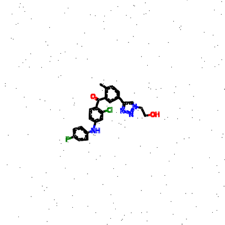 Cc1ccc(-c2cn(CCO)nn2)cc1C(=O)c1ccc(Nc2ccc(F)cc2)cc1Cl